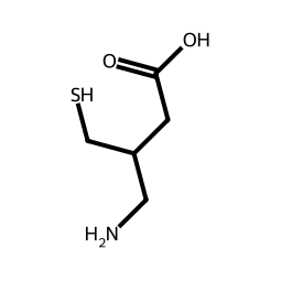 NCC(CS)CC(=O)O